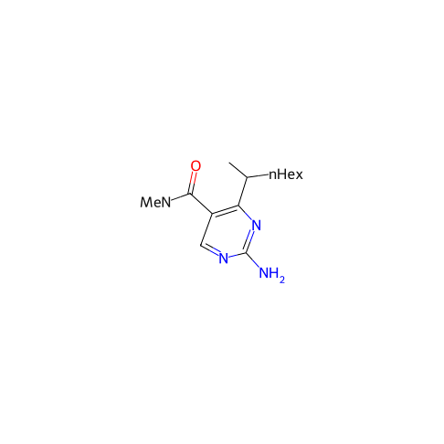 CCCCCCC(C)c1nc(N)ncc1C(=O)NC